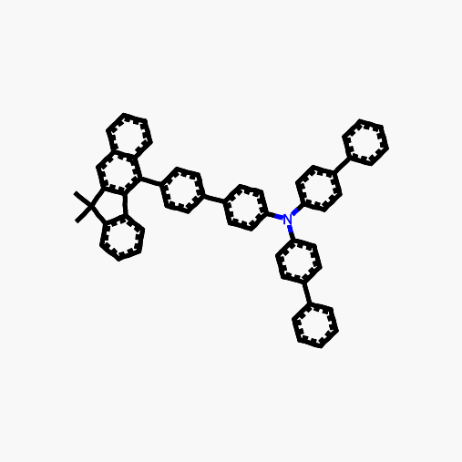 CC1(C)c2ccccc2-c2c1cc1ccccc1c2-c1ccc(-c2ccc(N(c3ccc(-c4ccccc4)cc3)c3ccc(-c4ccccc4)cc3)cc2)cc1